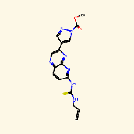 C=CCNC(=S)Nc1ccc2ncc(-c3cnn(C(=O)OC(C)(C)C)c3)nc2n1